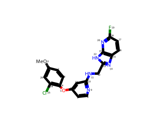 COc1ccc(Oc2ccnc(NCc3nc4ccc(F)nc4[nH]3)c2)c(Cl)c1